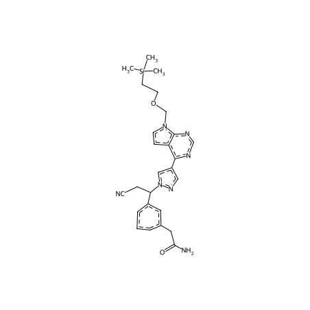 C[Si](C)(C)CCOCn1ccc2c(-c3cnn(C(CC#N)c4cccc(CC(N)=O)c4)c3)ncnc21